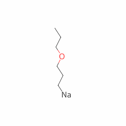 CCCOCC[CH2][Na]